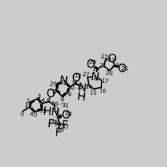 Cc1ccc([C@@H](Oc2ccc(C(=O)N[C@H]3CCCN(C(=O)[C@H]4COC(=O)C4)C3)nc2)[C@H](C)NC(=O)C(F)(F)F)cc1